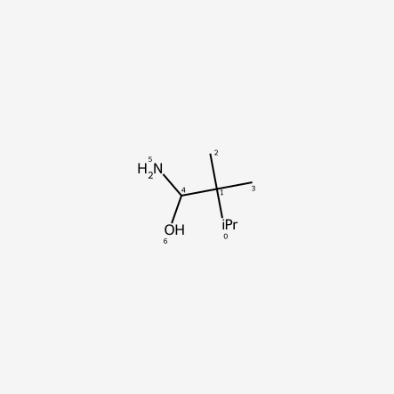 CC(C)C(C)(C)C(N)O